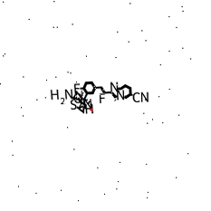 CN(C)C(=O)[C@]12C[C@H]1[C@@](C)(c1cc(/C=C(\F)c3cn4cc(C#N)ccc4n3)ccc1F)N=C(N)S2